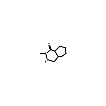 CN1CC2CCCCC2C(=O)N1C